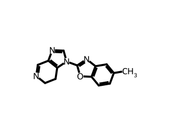 Cc1ccc2oc(-n3cnc4c3CCN=C4)nc2c1